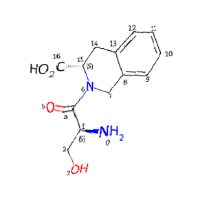 N[C@@H](CO)C(=O)N1Cc2ccccc2C[C@H]1C(=O)O